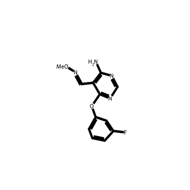 CO/N=C/c1c(N)ncnc1Oc1cccc(F)c1